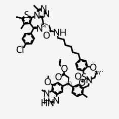 CCOC(=O)C[C@@H](c1ccc(C)c(CN2C[C@@H](C)Oc3cc(CCCCCCNC(=O)C[C@@H]4N=C(c5ccc(Cl)cc5)c5c(sc(C)c5C)-n5c(C)nnc54)ccc3S2(=O)=O)c1)c1cc(N=N)c(NC)c(OC)c1